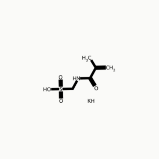 C=C(C)C(=O)NCS(=O)(=O)O.[KH]